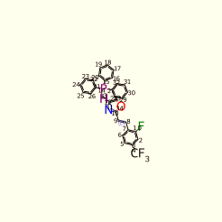 Fc1cc(C(F)(F)F)ccc1/C=C/c1nc(C[PH](c2ccccc2)(c2ccccc2)c2ccccc2)co1